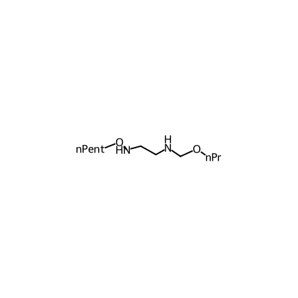 CCCCCONCCNCOCCC